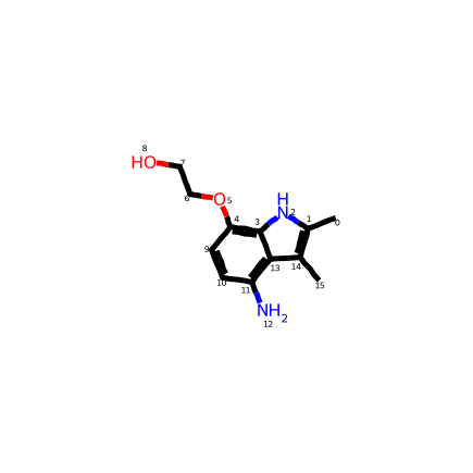 Cc1[nH]c2c(OCCO)ccc(N)c2c1C